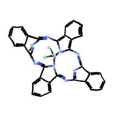 Cl[Si]1(Cl)n2c3c4ccccc4c2N=C2N=C(N=c4c5ccccc5c(n41)=NC1=NC(=N3)c3ccccc31)c1ccccc12